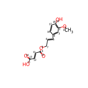 COc1cc(/C=C/COC(=O)/C=C/C(=O)O)ccc1O